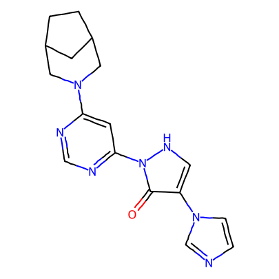 O=c1c(-n2ccnc2)c[nH]n1-c1cc(N2CC3CCC(C3)C2)ncn1